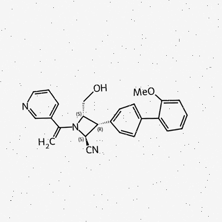 C=C(c1cccnc1)N1[C@H](C#N)[C@@H](c2ccc(-c3ccccc3OC)cc2)[C@H]1CO